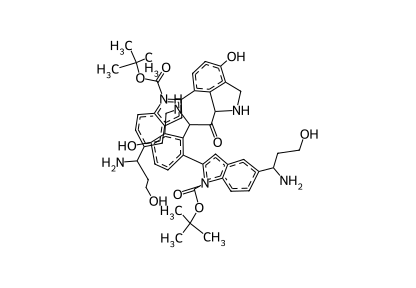 CC(C)(C)OC(=O)n1c(-c2ccc(O)c3c2C(C(=O)C2NCc4c(O)ccc(-c5cc6cc(C(N)CCO)ccc6n5C(=O)OC(C)(C)C)c42)NC3)cc2cc(C(N)CCO)ccc21